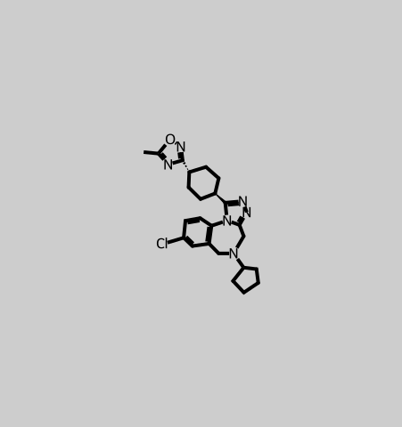 Cc1nc([C@H]2CC[C@H](c3nnc4n3-c3ccc(Cl)cc3CN(C3CCCC3)C4)CC2)no1